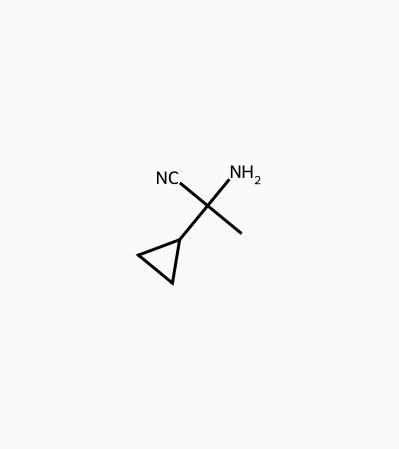 CC(N)(C#N)C1CC1